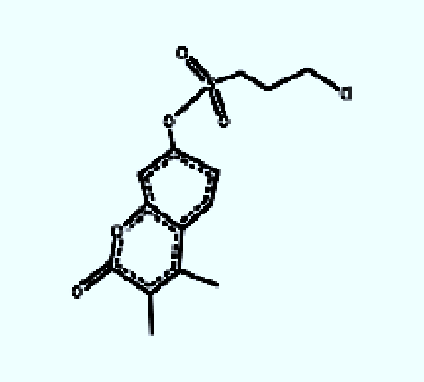 Cc1c(C)c2ccc(OS(=O)(=O)CCCCl)cc2oc1=O